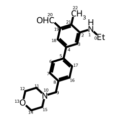 CCNc1cc(-c2ccc(CN3CCOCC3)cc2)cc(C=O)c1C